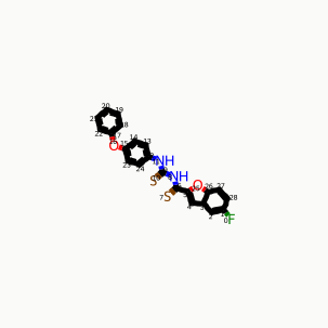 FC1=CC2C=C(C(=S)NC(=S)Nc3ccc(Oc4ccccc4)cc3)OC2C=C1